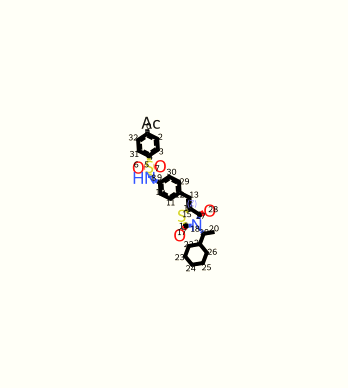 CC(=O)c1ccc(S(=O)(=O)Nc2ccc(/C=C3\SC(=O)N(C(C)C4CCCCC4)C3=O)cc2)cc1